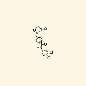 O=C(Nc1ccc(Cl)c(Cl)c1)N1CCN(C[C@H]2CN(C3CC3)CCO2)CC1